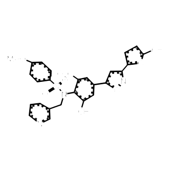 COc1ccc(S(=O)(=O)N(Cc2cccnc2)c2c(C)cc(-c3cc(-c4ccc(C)o4)no3)cc2C(=O)O)cc1